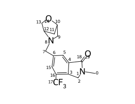 CN1Cc2c(cc(CN3CC4CC3CO4)cc2C(F)(F)F)C1=O